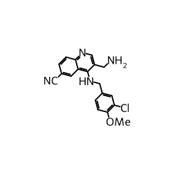 COc1ccc(CNc2c(CN)cnc3ccc(C#N)cc23)cc1Cl